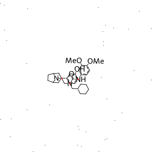 COc1ccc(NC(=O)N(CCN2C3CCC2CC(c2cccc(O)c2)C3)CC2CCCCC2)cc1OC